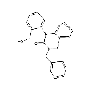 O=C1N(Cc2ccccc2)Cc2cccnc2N1c1ccccc1CO